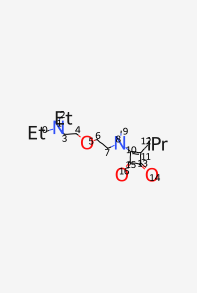 CCN(CC)CCOCCN(C)c1c(C(C)C)c(=O)c1=O